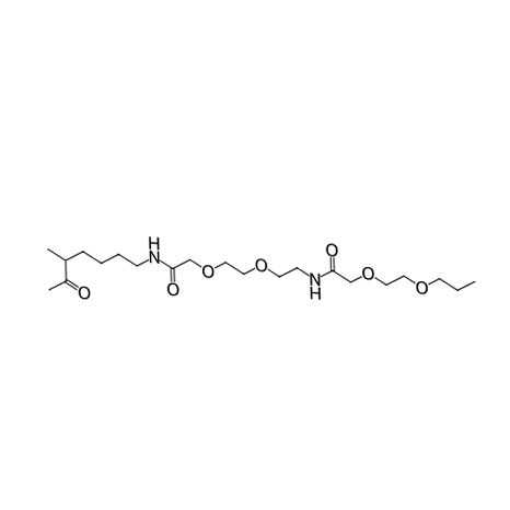 CCCOCCOCC(=O)NCCOCCOCC(=O)NCCCCC(C)C(C)=O